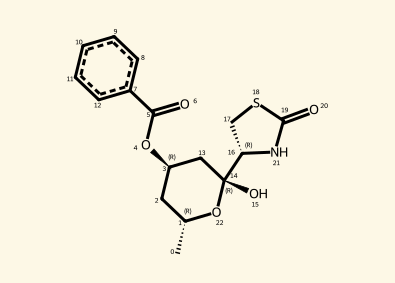 C[C@@H]1C[C@@H](OC(=O)c2ccccc2)C[C@](O)([C@@H]2CSC(=O)N2)O1